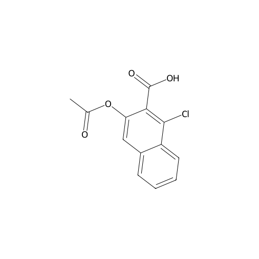 CC(=O)Oc1cc2ccccc2c(Cl)c1C(=O)O